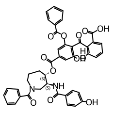 O=C(N[C@H]1CN(C(=O)c2ccccc2)CCC[C@@H]1OC(=O)c1cc(O)c(C(=O)c2c(O)cccc2C(=O)O)c(OC(=O)c2ccccc2)c1)c1ccc(O)cc1